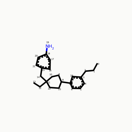 CCCc1cccc(C2CCC(CC)(Cc3ccc(N)cc3)CC2)c1